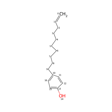 C=CCCCCCCCCc1ccc(O)cc1